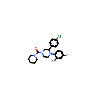 O=C(N1CCCCC1)N1CCN(c2ccc(Cl)cc2Cl)C(c2ccc(Cl)cc2)C1